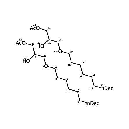 CCCCCCCCCCCCCCCCOCC(O)COC(C)=O.CCCCCCCCCCCCCCCCOCC(O)COC(C)=O